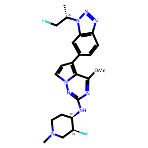 COc1nc(N[C@@H]2CCN(C)C[C@@H]2F)nn2ccc(-c3ccc4nnn([C@@H](C)CF)c4c3)c12